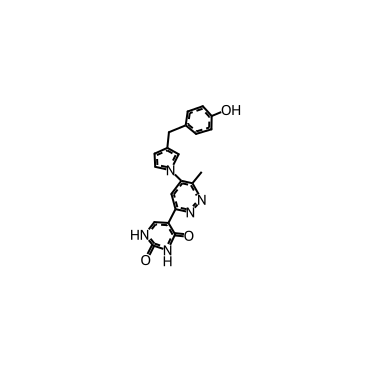 Cc1nnc(-c2c[nH]c(=O)[nH]c2=O)cc1-n1ccc(Cc2ccc(O)cc2)c1